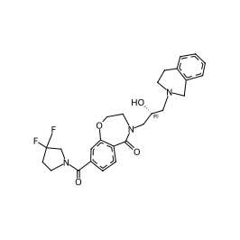 O=C(c1ccc2c(c1)OCCN(C[C@H](O)CN1CCc3ccccc3C1)C2=O)N1CCC(F)(F)C1